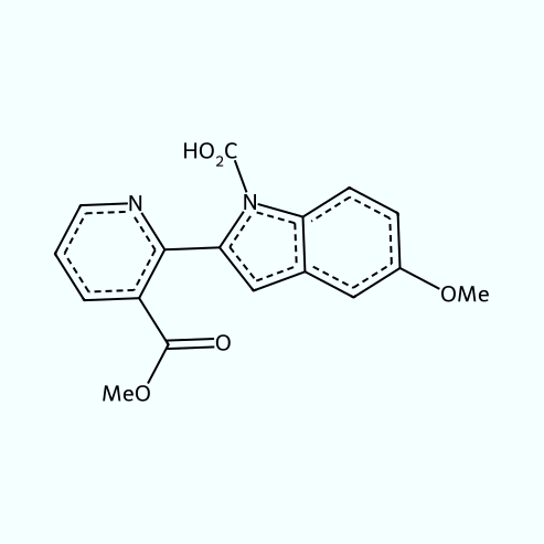 COC(=O)c1cccnc1-c1cc2cc(OC)ccc2n1C(=O)O